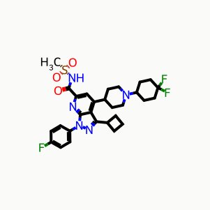 CS(=O)(=O)NC(=O)c1cc(C2CCN(C3CCC(F)(F)CC3)CC2)c2c(C3CCC3)nn(-c3ccc(F)cc3)c2n1